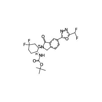 CC(C)(C)OC(=O)N[C@@H]1CCC(F)(F)C[C@H]1N1Cc2ccc(-c3nnc(C(F)F)o3)cc2C1=O